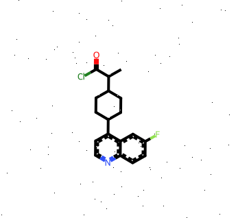 CC(C(=O)Cl)C1CCC(c2ccnc3ccc(F)cc23)CC1